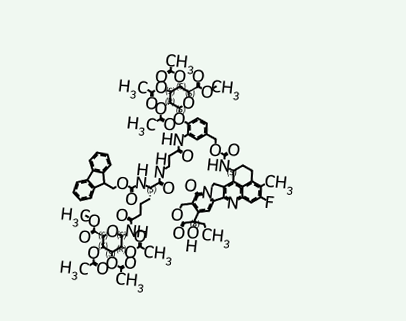 CC[C@@]1(O)C(=O)OCc2c1cc1n(c2=O)Cc2c-1nc1cc(F)c(C)c3c1c2[C@@H](NC(=O)OCc1ccc(O[C@@H]2O[C@H](C(=O)OC)[C@@H](OC(C)=O)[C@H](OC(C)=O)[C@H]2OC(C)=O)c(NC(=O)CCNC(=O)[C@H](CCCC(=O)N[C@H]2O[C@H](C(=O)OC)[C@@H](OC(C)=O)[C@H](OC(C)=O)[C@H]2OC(C)=O)NC(=O)OCC2c4ccccc4-c4ccccc42)c1)CC3